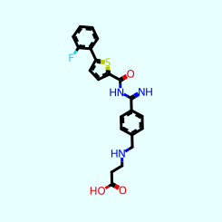 N=C(NC(=O)c1ccc(-c2ccccc2F)s1)c1ccc(CNCCC(=O)O)cc1